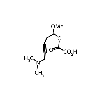 COC(CC#CCN(C)C)OC(=O)C(=O)O